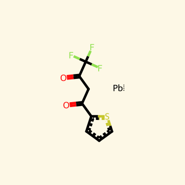 O=C(CC(=O)C(F)(F)F)c1cccs1.[Pb]